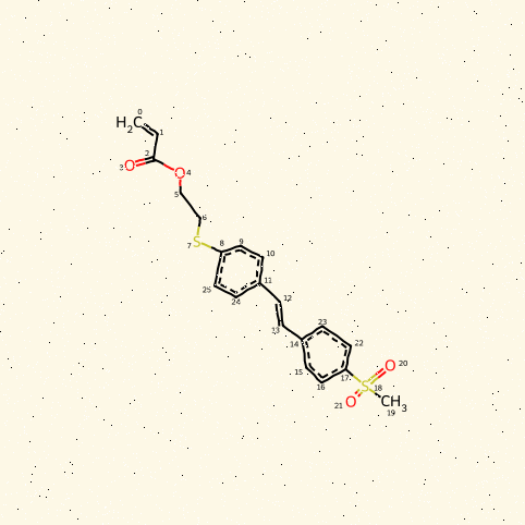 C=CC(=O)OCCSc1ccc(C=Cc2ccc(S(C)(=O)=O)cc2)cc1